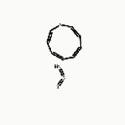 N=S=O.c1ccccsccc1